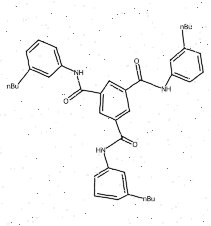 CCCCc1cccc(NC(=O)c2cc(C(=O)Nc3cccc(CCCC)c3)cc(C(=O)Nc3cccc(CCCC)c3)c2)c1